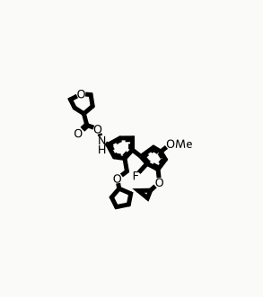 COc1cc(OC2CC2)c(F)c(-c2ccc(NOC(=O)C3CCOCC3)cc2COC2CCCC2)c1